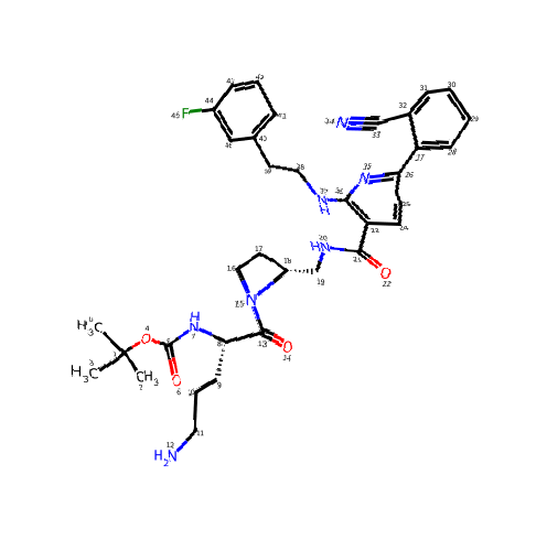 CC(C)(C)OC(=O)N[C@@H](CCCN)C(=O)N1CC[C@@H]1CNC(=O)c1ccc(-c2ccccc2C#N)nc1NCCc1cccc(F)c1